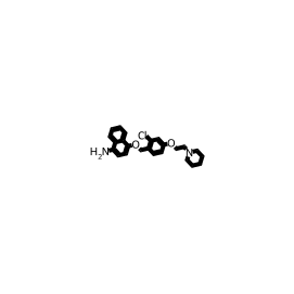 Nc1ccc(OCc2ccc(OCCN3CCCCC3)cc2Cl)c2ccccc12